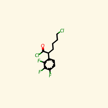 O=C(Cl)C(CCCCCl)c1ccc(F)c(F)c1F